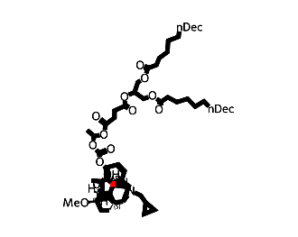 CCCCCCCCCCCCCCCC(=O)OCC(COC(=O)CCCCCCCCCCCCCCC)OC(=O)CCC(=O)OC(C)OC(=O)Oc1ccc2c3c1O[C@H]1[C@@]4(OC)CC[C@@]5(C[C@@H]4[C@](C)(O)C(C)(C)C)C(C2)N(CC2CC2)CC[C@]315